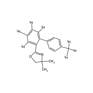 [2H]c1c([2H])c([2H])c(-c2ccc(C([2H])([2H])[2H])cc2)c(C2=NC(C)(C)CO2)c1[2H]